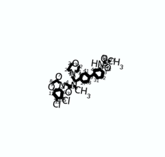 CN(C(=O)CN1C(=O)COc2cc(Cl)c(Cl)cc21)C(CN1CCOCC1)c1ccc(-c2cccc(NS(C)(=O)=O)c2)cc1